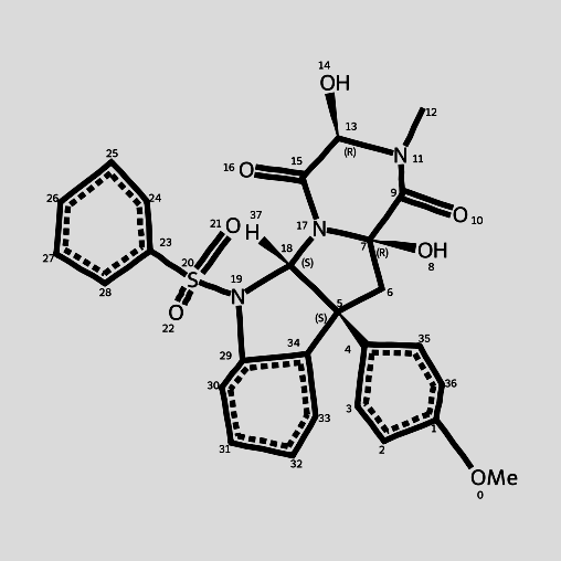 COc1ccc([C@]23C[C@@]4(O)C(=O)N(C)[C@H](O)C(=O)N4[C@H]2N(S(=O)(=O)c2ccccc2)c2ccccc23)cc1